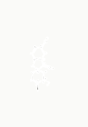 C[C@H]1CC[C@@]2(Cc3ccc(Br)cc3C2=O)C[C@@H]1C